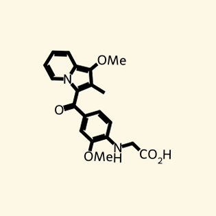 COc1cc(C(=O)c2c(C)c(OC)c3ccccn23)ccc1NCC(=O)O